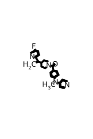 C=C(c1ccc(F)cn1)C1CCN(C(=O)c2ccc(N(C)c3ccncc3)cc2)CC1